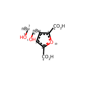 CCCCO.CCCCO.O=C(O)c1ccc(C(=O)O)o1